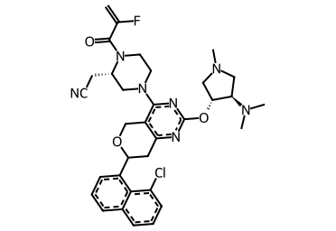 C=C(F)C(=O)N1CCN(c2nc(O[C@@H]3CN(C)C[C@H]3N(C)C)nc3c2COC(c2cccc4cccc(Cl)c24)C3)C[C@@H]1CC#N